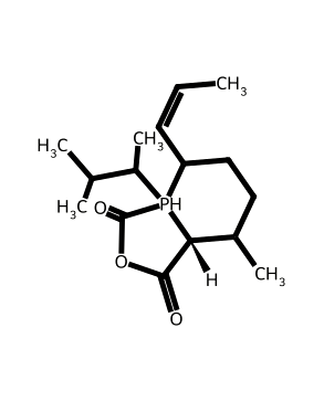 C/C=C\C1CCC(C)[C@@H]2C(=O)OC(=O)[PH]12C(C)C(C)C